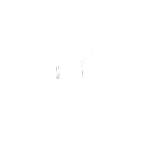 CC(=O)OC(C)[NH][Pd]